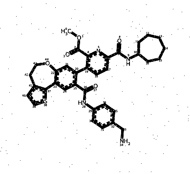 COC(=O)c1nc(C(=O)NC2CCCCCC2)ccc1-c1cc2c(cc1C(=O)Nc1ccc(CN)cc1)-c1sccc1CCO2